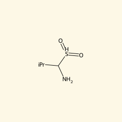 CC(C)C(N)[SH](=O)=O